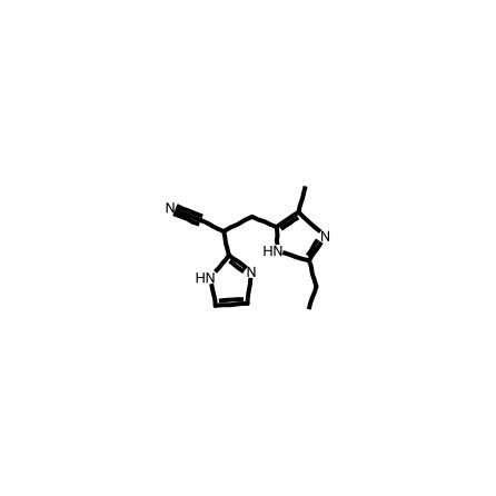 CCc1nc(C)c(CC(C#N)c2ncc[nH]2)[nH]1